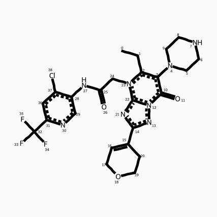 CCc1c(N2CCNCC2)c(=O)n2nc(C3=CCOCC3)nc2n1CC(=O)Nc1cnc(C(F)(F)F)cc1Cl